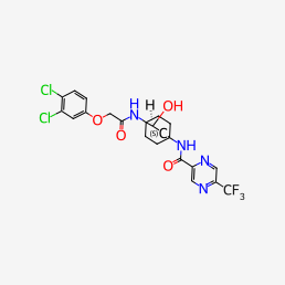 O=C(COc1ccc(Cl)c(Cl)c1)NC12CCC(NC(=O)c3cnc(C(F)(F)F)cn3)(CC1)C[C@@H]2O